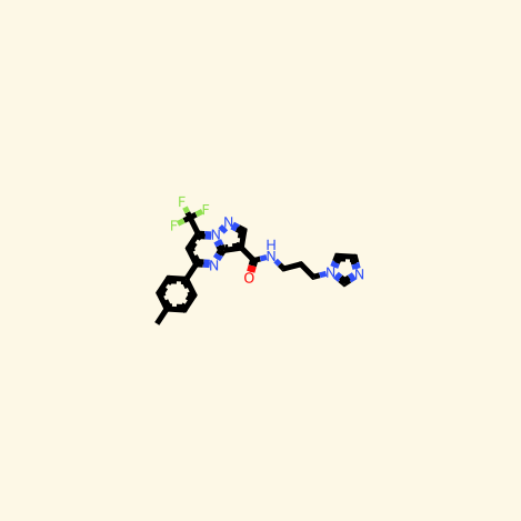 Cc1ccc(-c2cc(C(F)(F)F)n3ncc(C(=O)NCCCn4ccnc4)c3n2)cc1